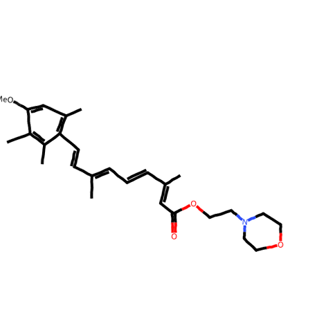 COc1cc(C)c(C=CC(C)=CC=CC(C)=CC(=O)OCCN2CCOCC2)c(C)c1C